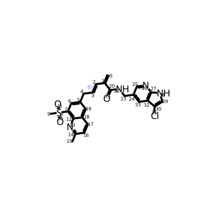 C=C(/C=C/Cc1cc(S(C)(=O)=O)c2nc(C)ccc2c1)C(=O)NCc1cnc2[nH]cc(Cl)c2c1